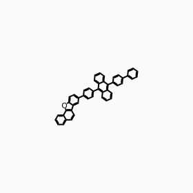 c1ccc(-c2ccc(-c3c4ccccc4c(-c4ccc(-c5ccc6oc7c8ccccc8ccc7c6c5)cc4)c4ccccc34)cc2)cc1